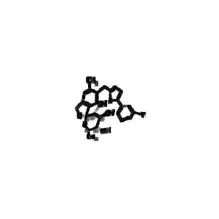 Cc1cc2c(cc1Cc1ccc(-c3cccc(F)c3)s1)[C@]1(OC2)O[C@H](C)[C@@H](O)[C@H](O)[C@H]1O